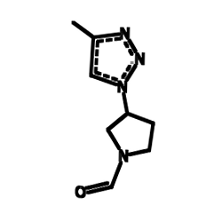 Cc1cn(C2CCN(C=O)C2)nn1